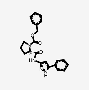 O=C(Nc1cc(-c2ccccc2)[nH]n1)[C@@H]1CCCN1C(=O)OCc1ccccc1